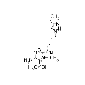 CCc1cn(CCCC[C@H](NC)C(=O)N[C@H](C(N)=O)[C@@H](C)O)nn1